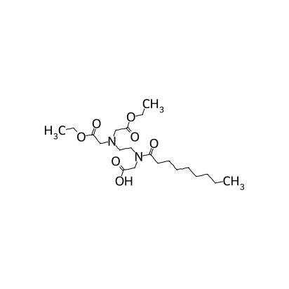 CCCCCCCCC(=O)N(CCN(CC(=O)OCC)CC(=O)OCC)CC(=O)O